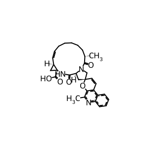 Cc1nc2ccccc2c2c1O[C@]1(C=C2)C[C@H]2C(=O)N[C@]3(C(=O)O)C[C@H]3/C=C\CCCCC[C@H](C)C(=O)N2C1